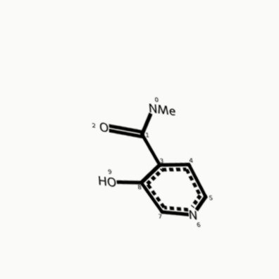 CNC(=O)c1ccncc1O